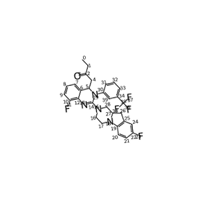 CCC(=O)CC1c2cccc(F)c2N=C(N2CCN3c4ccc(F)cc4CC3C2)N1c1cccc(C(F)(F)F)c1